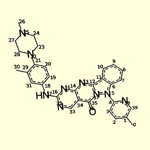 Cc1ccc(-n2c3ccccc3c3nc4nc(Nc5ccc(N6CCN(C)CC6)c(C)c5)ncc4c(=O)n32)nc1